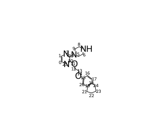 c1cnc(N2CCNCC2)c(OCCOc2ccc3c(c2)CCCC3)n1